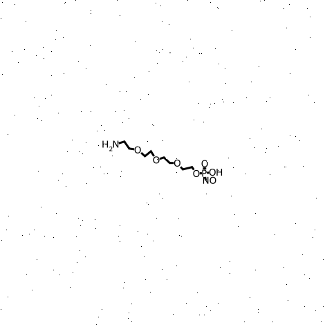 NCCOCCOCCOCCOP(=O)(O)N=O